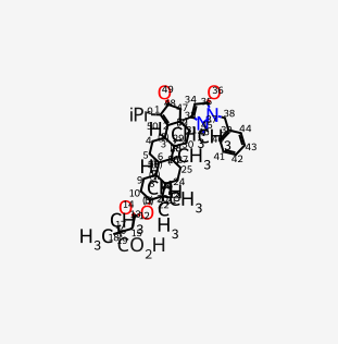 CC(C)C1=C2[C@H]3CC[C@@H]4[C@@]5(C)CC[C@H](OC(=O)CC(C)(C)C(=O)O)C(C)(C)[C@@H]5CC[C@@]4(C)[C@]3(C)CC[C@@]2(c2cc(=O)n(Cc3ccccc3)n2C)CC1=O